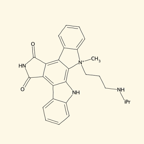 CC(C)NCCC[N+]1(C)c2ccccc2-c2c3c(c4c([nH]c5ccccc54)c21)C(=O)NC3=O